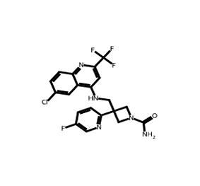 NC(=O)N1CC(CNc2cc(C(F)(F)F)nc3ccc(Cl)cc23)(c2ccc(F)cn2)C1